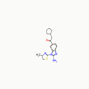 CC1CSC(n2c(N)nc3ccc(C(=O)CC4CCCC4)cc32)=N1